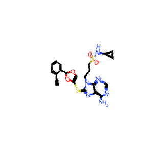 C#Cc1ccccc1C1OC=C(Sc2nc3c(N)ncnc3n2CCCS(=O)(=O)NC2CC2)O1